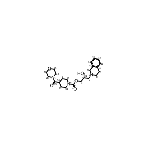 O=C(OC[C@H](O)CN1CCc2ccccc2C1)N1CCC(C(=O)N2CCOCC2)CC1